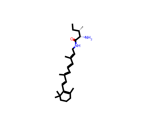 CC[C@H](C)[C@H](N)C(=O)NC/C=C(C)/C=C/C=C(C)/C=C/C1=C(C)CCCC1(C)C